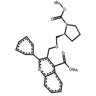 COC(=O)c1c(COC[C@@H]2CCCN2C(=O)OC(C)(C)C)c(-c2ccccc2)nc2ccccc12